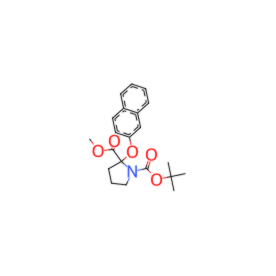 COC(=O)C1(Oc2ccc3ccccc3c2)CCCN1C(=O)OC(C)(C)C